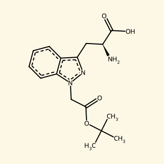 CC(C)(C)OC(=O)Cn1nc(C[C@H](N)C(=O)O)c2ccccc21